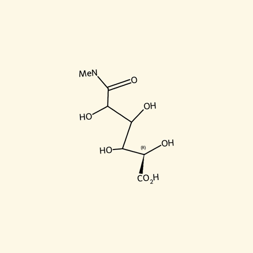 CNC(=O)C(O)C(O)C(O)[C@@H](O)C(=O)O